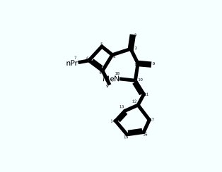 C=C(C(=C)C1CC(CCC)=C1C)/C(=C/C1C=CC=CC1)NC